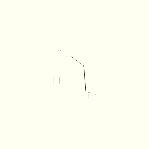 CC(=O)CC(C)C.[KH]